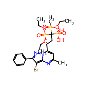 CCOP(C)(=O)C(CCc1cc(C)nc2c(Br)c(-c3ccccc3)nn12)(P(=O)(O)O)P(=O)(OCC)OCC